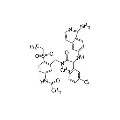 CCS(=O)(=O)c1ccc(NC(C)=O)cc1CN(C)C(=O)C(Nc1ccc2c(N)nccc2c1)c1cccc(Cl)c1